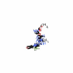 COCC(=O)Nc1cc(Oc2cnc3nc(Nc4cc(C(F)(F)F)n(C5CC6(CCOCC6)C5)n4)n(C)c3c2C#N)ccn1